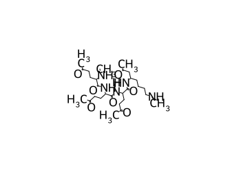 CNCCCCC(CC(C)=O)NC(=O)C(CCC(C)=O)NC(=O)C(CCC(C)=O)NC(=O)C(CCC(C)=O)NC